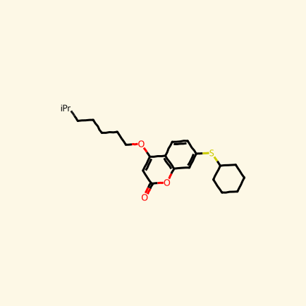 CC(C)CCCCCOc1cc(=O)oc2cc(SC3CCCCC3)ccc12